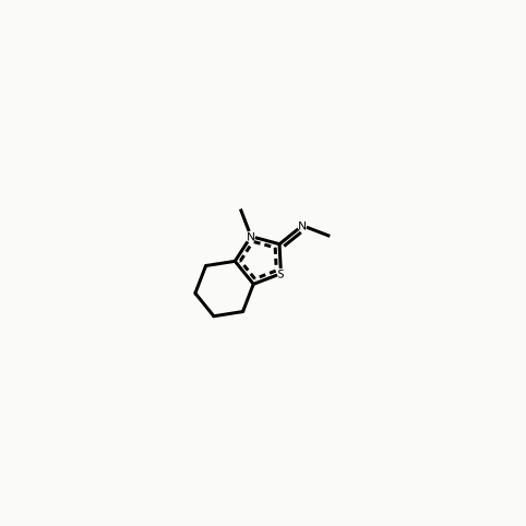 C/N=c1\sc2c(n1C)CCCC2